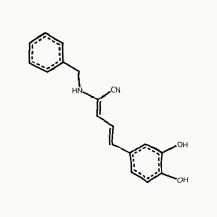 N#C/C(=C\C=Cc1ccc(O)c(O)c1)NCc1ccccc1